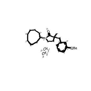 COc1cccc(CC2(C)CCN(C3[CH]CCCCCC3)C2=O)c1.[CH2].[CH2]